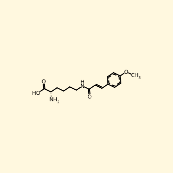 COc1ccc(C=CC(=O)NCCCC[C@H](N)C(=O)O)cc1